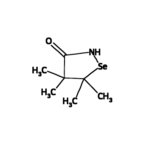 CC1(C)[Se]NC(=O)C1(C)C